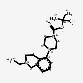 CCN1CCc2c(cccc2N2CCN(C(=O)OC(C)(C)C)CC2)C1